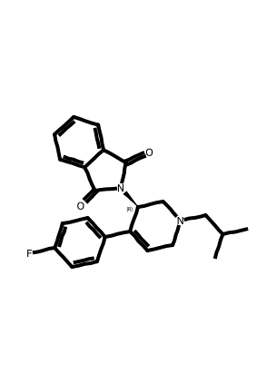 C[C](C)CN1CC=C(c2ccc(F)cc2)[C@@H](N2C(=O)c3ccccc3C2=O)C1